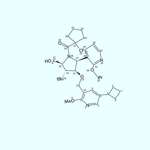 COc1ncc(C2CCC2)cc1CO[C@H]1[C@H](C(C)(C)C)[C@@H](C(=O)O)N(C(=O)C2(C(F)(F)F)CCCC2)[C@H]1c1cccnc1OC(C)C